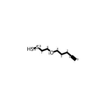 C#CCCCOCCSS